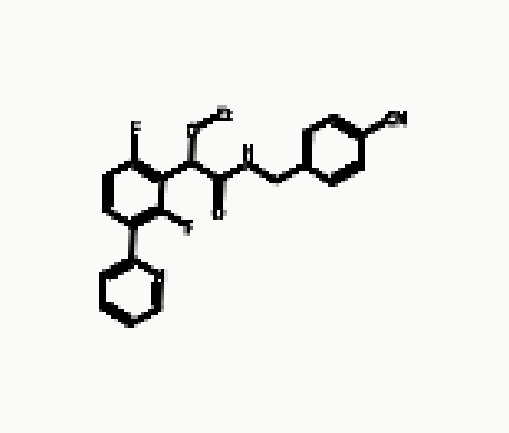 CCOC(C(=O)NCc1ccc(C#N)cc1)c1c(F)ccc(-c2ccccn2)c1F